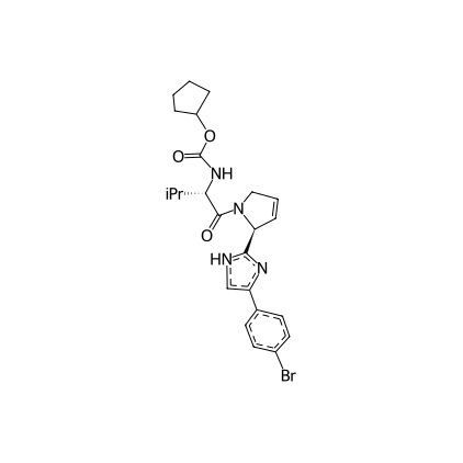 CC(C)[C@H](NC(=O)OC1CCCC1)C(=O)N1CC=C[C@H]1c1nc(-c2ccc(Br)cc2)c[nH]1